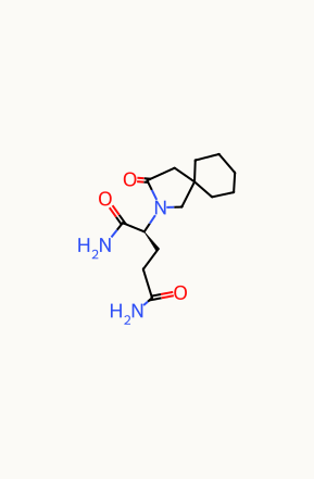 NC(=O)CC[C@@H](C(N)=O)N1CC2(CCCCC2)CC1=O